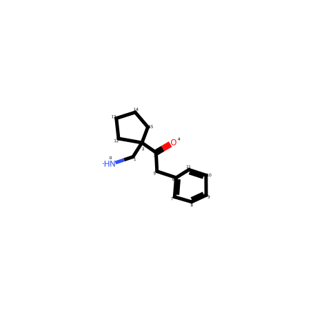 [NH]CC1(C(=O)Cc2ccccc2)CCCC1